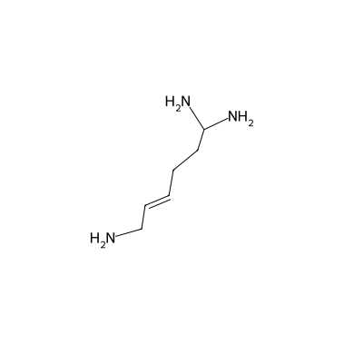 NCC=CCCC(N)N